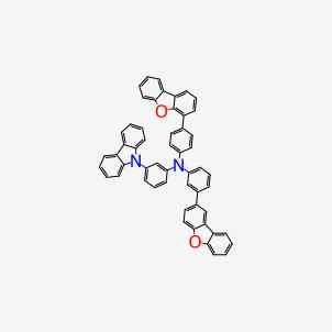 c1cc(-c2ccc3oc4ccccc4c3c2)cc(N(c2ccc(-c3cccc4c3oc3ccccc34)cc2)c2cccc(-n3c4ccccc4c4ccccc43)c2)c1